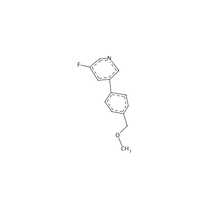 COCc1ccc(-c2cncc(F)c2)cc1